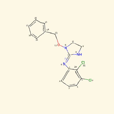 Clc1cccc(/N=C2\NCCN2OCc2ccccc2)c1Cl